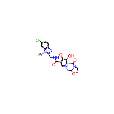 CC(C)n1c(CNC(=O)c2cn3c(c(O)c2=O)C(=O)N2CCOC2C3)nc2ccc(Cl)cc21